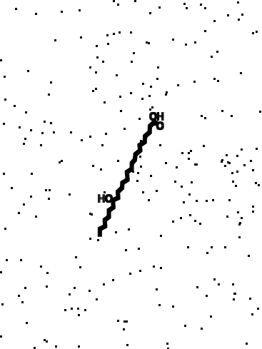 CCCCCCCC(O)CCCCCCCCCCCCCCCCC(=O)O